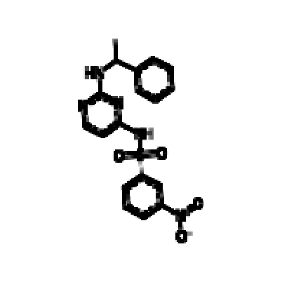 CC(Nc1nccc(NS(=O)(=O)c2cccc([N+](=O)[O-])c2)n1)c1ccccc1